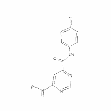 CC(C)Nc1cc(C(=O)Nc2ccc(F)cc2)ncn1